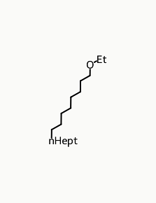 [CH2]CCCCCCCCCCCCCCOCC